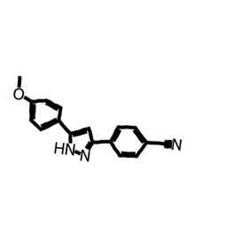 COc1ccc(-c2cc(-c3ccc(C#N)cc3)n[nH]2)cc1